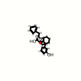 O=C(O)/C=C1\C2CCCC1(c1cccc(O)c1)CCN2CCc1ccccc1